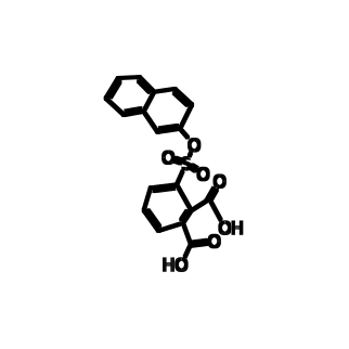 O=C(O)c1cccc(S(=O)(=O)Oc2ccc3ccccc3c2)c1C(=O)O